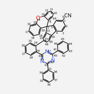 N#Cc1ccc2c(c1)C1(c3ccccc3Oc3ccccc31)c1cc(-c3ccccc3-c3nc(-c4ccccc4)nc(-c4ccccc4)n3)ccc1-2